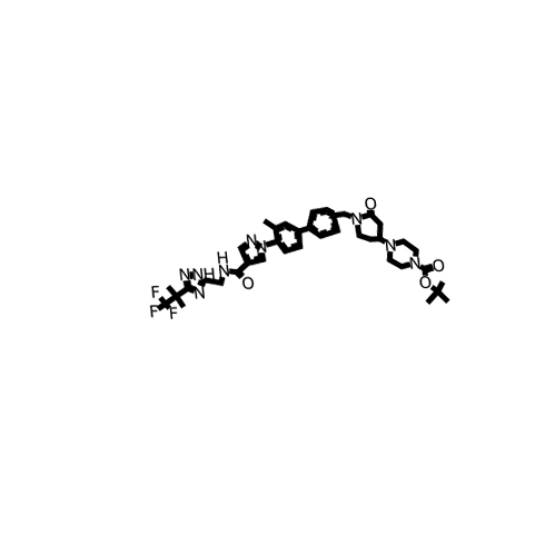 Cc1cc(-c2ccc(CN3CCC(N4CCN(C(=O)OC(C)(C)C)CC4)CC3=O)cc2)ccc1-n1cc(C(=O)NCc2nc(C(C)(C)C(F)(F)F)n[nH]2)cn1